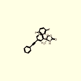 C[C@@]1(c2cncc(C#Cc3ccccc3)c2)NC(=O)O[C@H]1c1cc(F)ccc1F